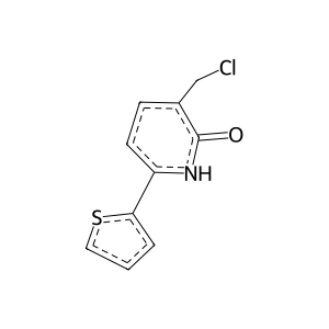 O=c1[nH]c(-c2cccs2)ccc1CCl